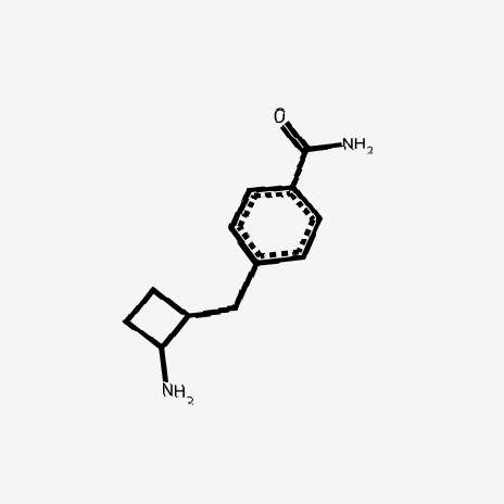 NC(=O)c1ccc(CC2CCC2N)cc1